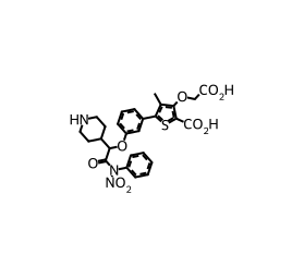 Cc1c(-c2cccc(OC(C(=O)N(c3ccccc3)[N+](=O)[O-])C3CCNCC3)c2)sc(C(=O)O)c1OCC(=O)O